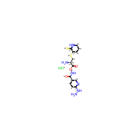 Cl.NNc1ccc(C(=O)NOC(=O)[C@@H](N)CSc2ccc[nH]c2=S)cn1